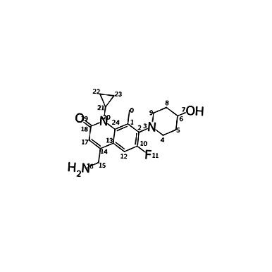 Cc1c(N2CCC(O)CC2)c(F)cc2c(CN)cc(=O)n(C3CC3)c12